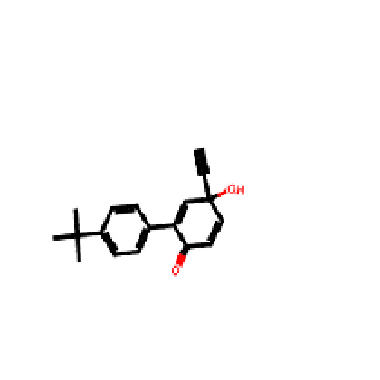 C#CC1(O)C=CC(=O)C(c2ccc(C(C)(C)C)cc2)=C1